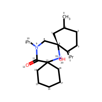 CC1CCC(C(C)C)[C@@]2(C1)CN(C(C)C)C(=O)C1(CCCCC1)N2O